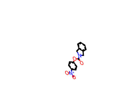 O=C(Oc1ccc([N+](=O)[O-])cc1)N1Cc2ccccc2C1